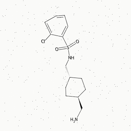 NC[C@H]1CC[C@H](CNS(=O)(=O)c2ccccc2Cl)CC1